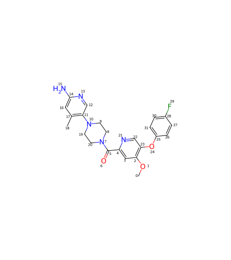 COc1cc(C(=O)N2CCN(c3cnc(N)cc3C)CC2)ncc1Oc1ccc(F)cc1